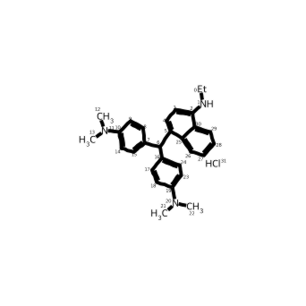 CCNc1ccc(C(c2ccc(N(C)C)cc2)c2ccc(N(C)C)cc2)c2ccccc12.Cl